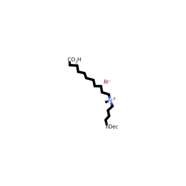 CCCCCCCCCCCCCC[N+](C)(C)CCCCCCCCCCC(=O)O.[Br-]